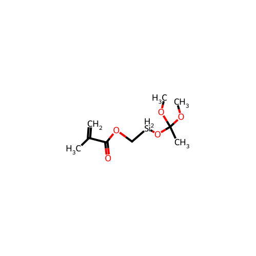 C=C(C)C(=O)OC[SiH2]OC(C)(OC)OC